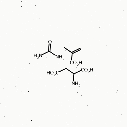 C=C(C)C(=O)O.NC(CC(=O)O)C(=O)O.NC(N)=O